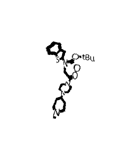 CN1CCC(N2CCN(C(=O)CN(C(=O)OC(C)(C)C)c3cc4ccccc4s3)CC2)CC1